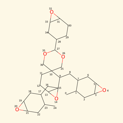 CC1CC2OC2CC1CC1C2(CCC3OC31CC1CC3OC3CC1C)COC(C1CCC3OC3C1)OC2